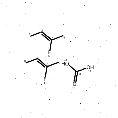 CC=C(C)F.CC=C(C)F.O=C(O)O